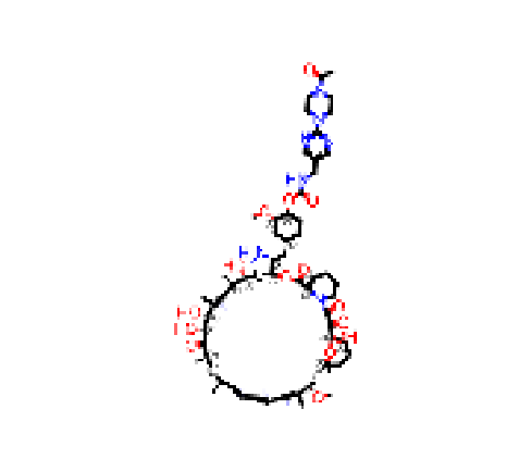 CO[C@H]1C[C@@H]2CC[C@@H](C)[C@@](O)(O2)C(=O)C(=O)N2CCCC[C@H]2C(=O)O[C@H]([C@H](N)C[C@@H]2CC[C@@H](OC(=O)NCc3cnc(N4CCN(C(C)=O)CC4)nc3)[C@H](OC)C2)C[C@@H](O)[C@H](C)/C=C(\C)[C@@H](O)[C@@H](O)C(=O)[C@H](C)C[C@H](C)/C=C/C=C/C=C/1C